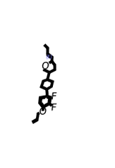 C=CCOc1ccc(C2CCC(C3CCC(/C=C/CC)OC3)CC2)c(F)c1F